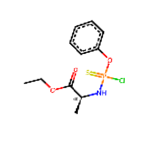 CCOC(=O)[C@H](C)NP(=S)(Cl)Oc1ccccc1